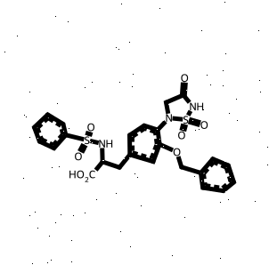 O=C1CN(c2ccc(CC(NS(=O)(=O)c3ccccc3)C(=O)O)cc2OCc2ccccc2)S(=O)(=O)N1